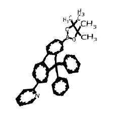 CC1(C)OB(c2ccc3c(c2)C(c2ccccc2)(c2ccccc2)c2cc(-c4ccccn4)ccc2-3)OC1(C)C